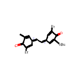 CCCCC1=C/C(=C/C=C2/C=C(C)C(=O)C(CC)=C2)C=C(CC)C1=O